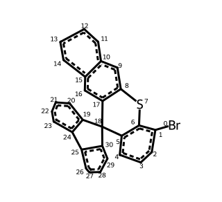 Brc1cccc2c1Sc1cc3ccccc3cc1C21c2ccccc2-c2ccccc21